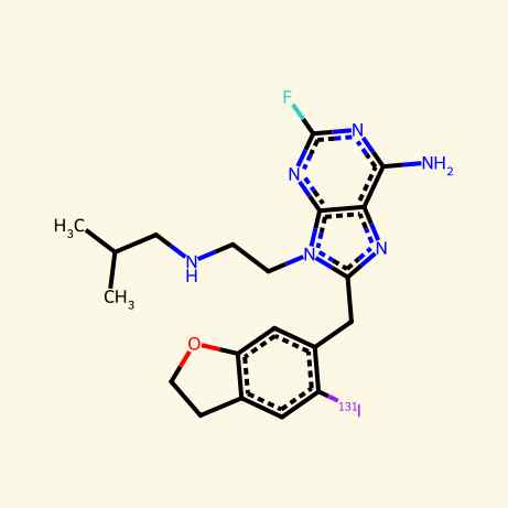 CC(C)CNCCn1c(Cc2cc3c(cc2[131I])CCO3)nc2c(N)nc(F)nc21